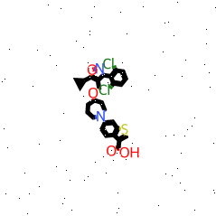 O=C(O)c1csc2cc(N3CCCC(OCc4c(-c5c(Cl)cccc5Cl)noc4C4CC4)CC3)ccc12